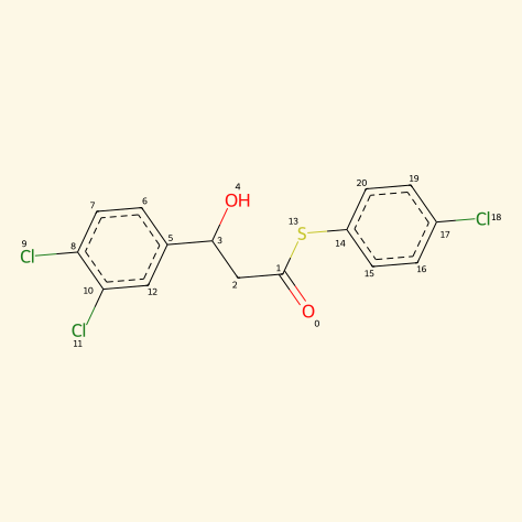 O=C(CC(O)c1ccc(Cl)c(Cl)c1)Sc1ccc(Cl)cc1